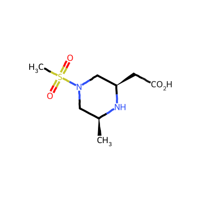 C[C@H]1CN(S(C)(=O)=O)C[C@@H](CC(=O)O)N1